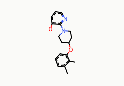 Cc1cccc(OC2CCN(c3ncccc3[O])CC2)c1C